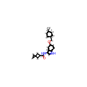 O=C(Nc1c[nH]c2ccc(OCc3ccc(C(F)(F)F)cc3)cc12)C1CC2(CC2)C1